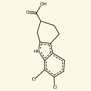 O=C(O)C1CCc2c([nH]c3c(Cl)c(Cl)ccc23)C1